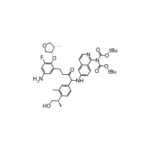 Cc1cc(C(Nc2ccc3c(N(C(=O)OC(C)(C)C)C(=O)OC(C)(C)C)nccc3c2)C(=O)CCc2cc(N)cc(F)c2O[C@@H]2COC[C@@H]2C)ccc1[C@@H](C)CO